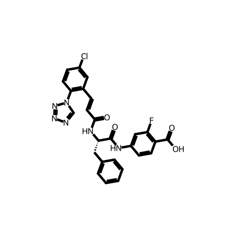 O=C(C=Cc1cc(Cl)ccc1-n1cnnn1)N[C@@H](Cc1ccccc1)C(=O)Nc1ccc(C(=O)O)c(F)c1